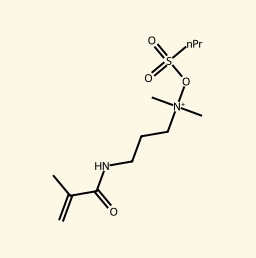 C=C(C)C(=O)NCCC[N+](C)(C)OS(=O)(=O)CCC